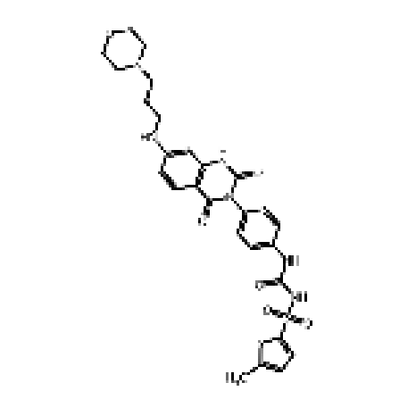 Cc1ccc(S(=O)(=O)NC(=O)Nc2ccc(-n3c(=O)[nH]c4cc(NCCCN5CCOCC5)ccc4c3=O)cc2)s1